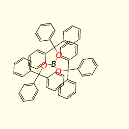 c1ccc(C(OB(OC(c2ccccc2)(c2ccccc2)c2ccccc2)OC(c2ccccc2)(c2ccccc2)c2ccccc2)(c2ccccc2)c2ccccc2)cc1